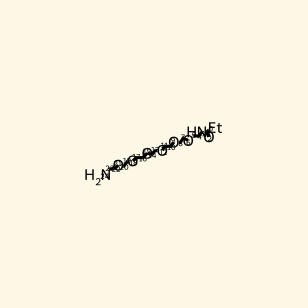 CCC(=O)NCCOCCOCCOCCOCCOCCOCCN